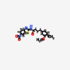 COc1cc(CCCC(=O)Nc2nc3ccc([N+](=O)[O-])cc3s2)ccc1C